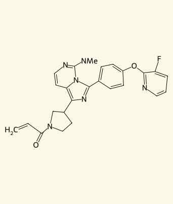 C=CC(=O)N1CCC(c2nc(-c3ccc(Oc4ncccc4F)cc3)n3c(NC)nccc23)C1